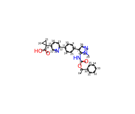 C[C@@H](OC(=O)Nc1c(-c2ccc(-c3ccc(C4(C(=O)O)CC4)cn3)cc2)cnn1C)c1ccccc1